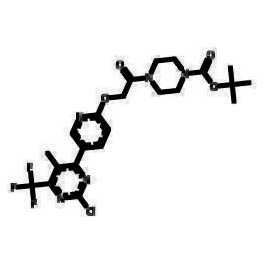 Cc1c(-c2ccc(OCC(=O)N3CCN(C(=O)OC(C)(C)C)CC3)nc2)nc(Cl)nc1C(F)(F)F